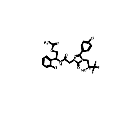 NC(=O)OCC(NC(=O)Cn1nc(-c2ccc(Cl)cc2)n(C[C@H](O)C(F)(F)F)c1=O)c1ccccc1Cl